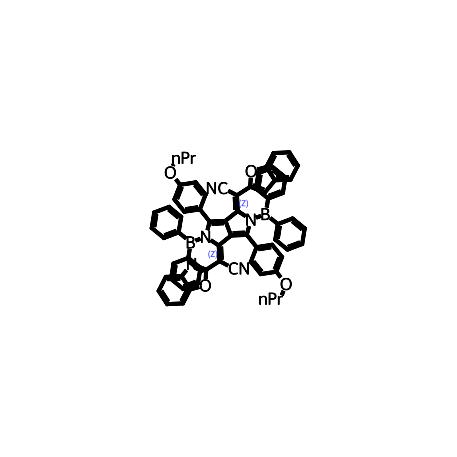 CCCOc1ccc(-c2c3/c(=C(\C#N)c4nc5ccccc5o4)n(B(c4ccccc4)c4ccccc4)c(-c4ccc(OCCC)cc4)c3/c(=C(\C#N)c3cc4ccccc4o3)n2B(c2ccccc2)c2ccccc2)cc1